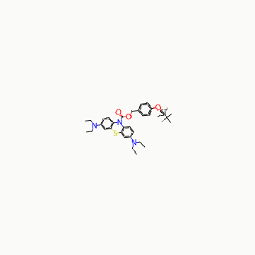 CCN(CC)c1ccc2c(c1)Sc1cc(N(CC)CC)ccc1N2C(=O)OCc1ccc(O[Si](C)(C)C(C)(C)C)cc1